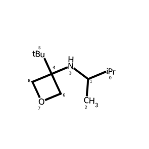 CC(C)C(C)NC1(C(C)(C)C)COC1